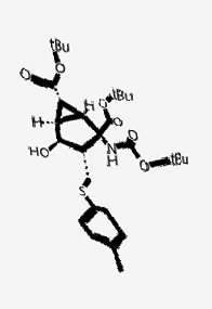 CC1=CC=C(SC[C@@H]2[C@@H](O)[C@H]3[C@H](C(=O)OC(C)(C)C)[C@H]3[C@]2(NC(=O)OC(C)(C)C)C(=O)OC(C)(C)C)CC1